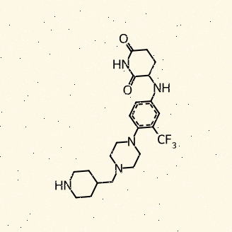 O=C1CCC(Nc2ccc(N3CCN(CC4CCNCC4)CC3)c(C(F)(F)F)c2)C(=O)N1